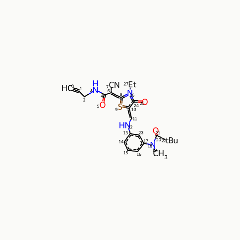 C#CCNC(=O)C(C#N)=c1sc(=CNc2cccc(N(C)C(=O)C(C)(C)C)c2)c(=O)n1CC